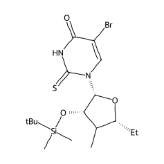 CC[C@H]1O[C@@H](n2cc(Br)c(=O)[nH]c2=S)[C@@H](O[Si](C)(C)C(C)(C)C)C1C